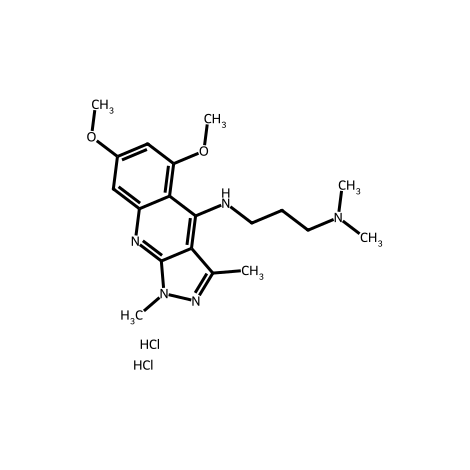 COc1cc(OC)c2c(NCCCN(C)C)c3c(C)nn(C)c3nc2c1.Cl.Cl